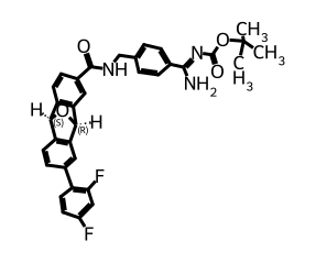 CC(C)(C)OC(=O)N=C(N)c1ccc(CNC(=O)c2ccc3c(c2)[C@@H]2O[C@H]3c3ccc(-c4ccc(F)cc4F)cc32)cc1